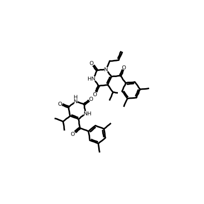 C=CCn1c(C(=O)c2cc(C)cc(C)c2)c(C(C)C)c(=O)[nH]c1=O.Cc1cc(C)cc(C(=O)c2[nH]c(=O)[nH]c(=O)c2C(C)C)c1